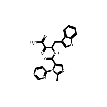 Cc1ncc(C(=O)NC(Cc2coc3ccccc23)C(=O)C(N)=O)n1-c1ccncn1